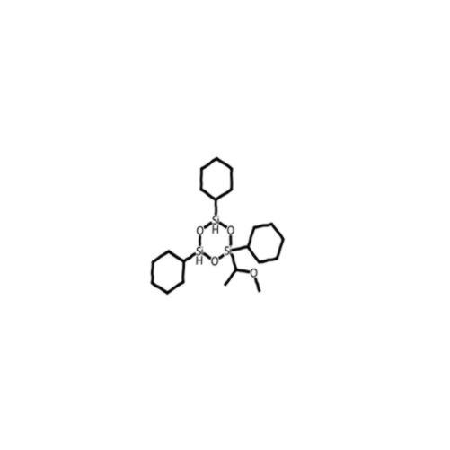 COC(C)[Si]1(C2CCCCC2)O[SiH](C2CCCCC2)O[SiH](C2CCCCC2)O1